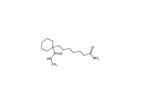 CNC(=O)C1(CCCCCCC(N)=O)CCCCC1